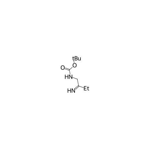 CCC(=N)CNC(=O)OC(C)(C)C